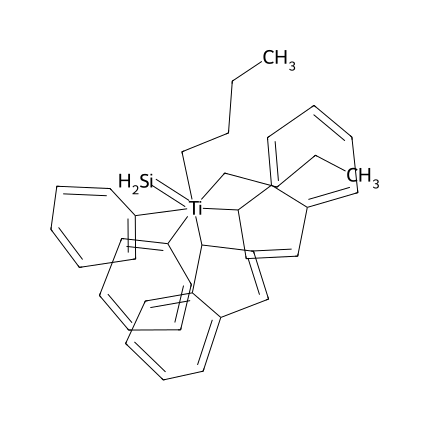 CCC[CH2][Ti](=[SiH2])([CH2]CCC)([c]1ccccc1)([c]1ccccc1)([CH]1C=Cc2ccccc21)[CH]1C=Cc2ccccc21